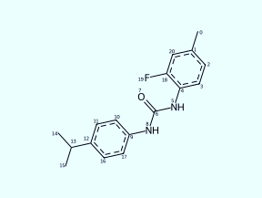 Cc1ccc(NC(=O)Nc2ccc(C(C)C)cc2)c(F)c1